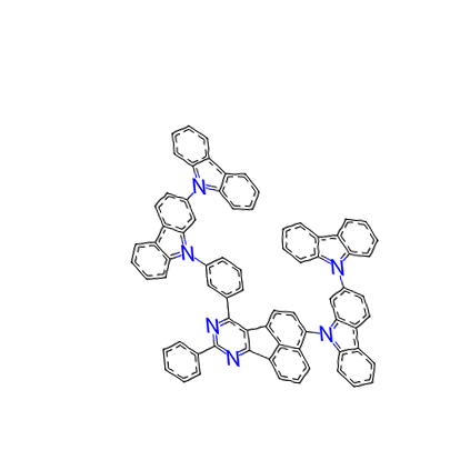 c1ccc(-c2nc(-c3cccc(-n4c5ccccc5c5ccc(-n6c7ccccc7c7ccccc76)cc54)c3)c3c(n2)-c2cccc4c(-n5c6ccccc6c6ccc(-n7c8ccccc8c8ccccc87)cc65)ccc-3c24)cc1